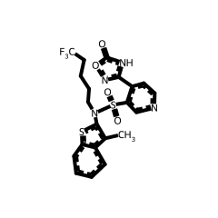 Cc1c(N(CCCCC(F)(F)F)S(=O)(=O)c2cnccc2-c2noc(=O)[nH]2)sc2ccccc12